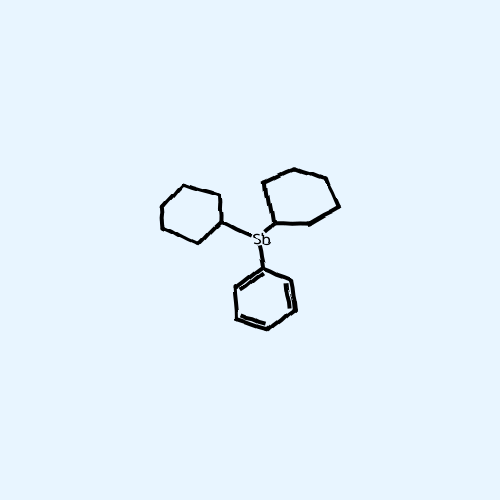 c1cc[c]([Sb]([CH]2CCCCC2)[CH]2CCCCC2)cc1